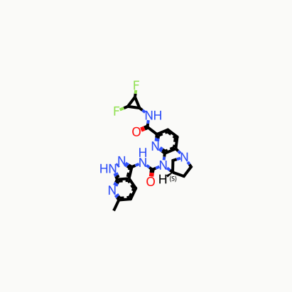 Cc1ccc2c(NC(=O)N3c4nc(C(=O)NC5C(F)C5F)ccc4N4CC[C@H]3C4)n[nH]c2n1